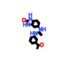 C=C(Nc1cccc(C(C)=O)c1)Nc1ccc2[nH]c(=O)[nH]c2c1